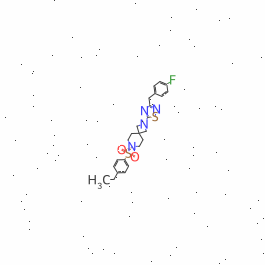 CCc1ccc(S(=O)(=O)N2CCC3(CC2)CN(c2nc(Cc4ccc(F)cc4)ns2)C3)cc1